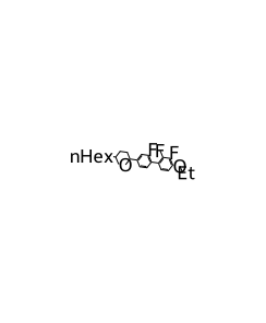 CCCCCCC1CCC(c2ccc(-c3ccc(OCC)c(F)c3F)c(F)c2)OC1